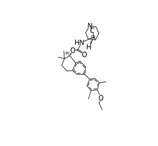 CCOc1c(C)cc(-c2ccc3c(c2)CCC(C)(C)[C@H]3OC(=O)N[C@@H]2CN3CCC2CC3)cc1C